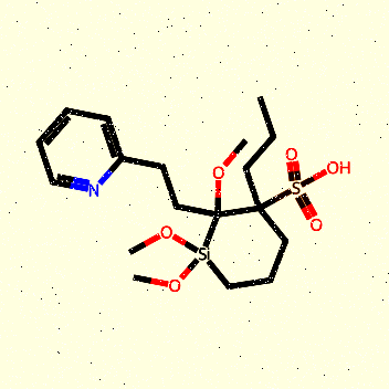 CCCC1(S(=O)(=O)O)CCC[Si](OC)(OC)C1(CCc1ccccn1)OC